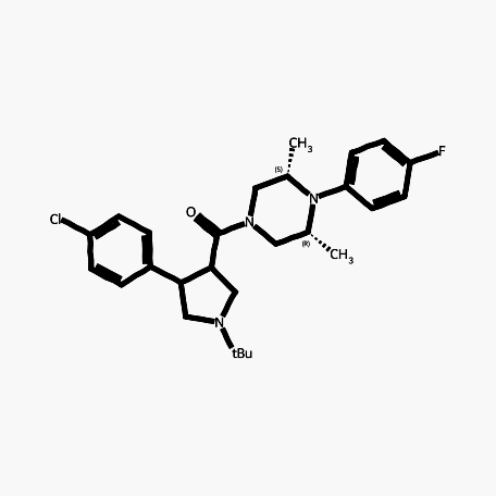 C[C@@H]1CN(C(=O)C2CN(C(C)(C)C)CC2c2ccc(Cl)cc2)C[C@H](C)N1c1ccc(F)cc1